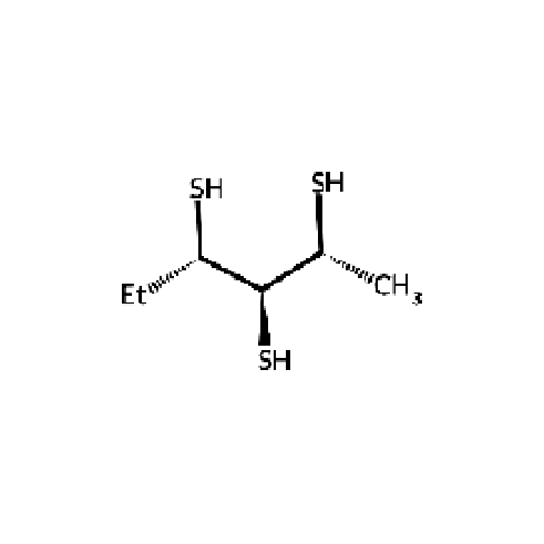 CC[C@H](S)[C@H](S)[C@@H](C)S